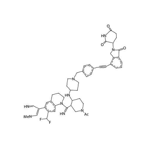 CN/C=C(\C=N)c1cc2c(cc1C(F)F)N(C(=N)C1CN(C(C)=O)CCC1NC1CCN(Cc3ccc(C#Cc4cccc5c4CN(C4CCC(=O)NC4=O)C5=O)cc3)CC1)CCC2